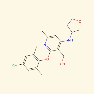 Cc1cc(NC2CCOC2)c(CO)c(Oc2c(C)cc(Cl)cc2C)n1